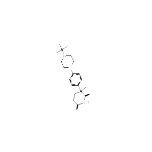 CC1(c2ccc(N3CCN(C(C)(C)C)CC3)cc2)CCC(=O)NC1=O